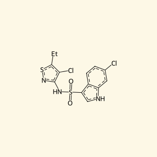 CCc1snc(NS(=O)(=O)c2c[nH]c3cc(Cl)ccc23)c1Cl